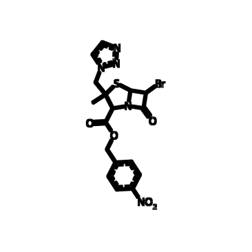 CC1(Cn2ccnn2)SC2C(Br)C(=O)N2C1C(=O)OCc1ccc([N+](=O)[O-])cc1